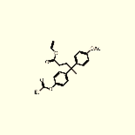 C=COC(=O)CCC(C)(c1ccc(OC(C)=O)cc1)c1ccc(OC(=O)CC)cc1